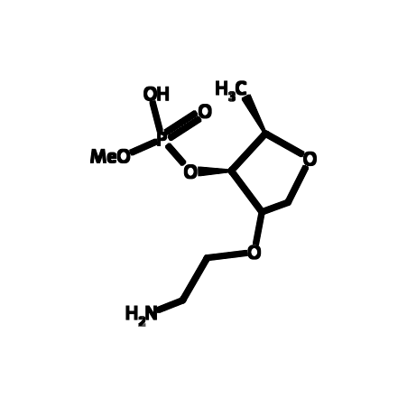 COP(=O)(O)O[C@@H]1C(OCCN)CO[C@@H]1C